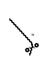 CCCCCCCCCCCCCCCCCCCCCCCC#CC(=N\c1ccccc1)/C(CCCCC)=N/c1ccccc1.[Ni]